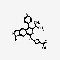 CC(C)c1nc(OC2CC(C(=O)O)C2)c2cc3[nH]ncc3cc2c1-c1ccc(F)cc1